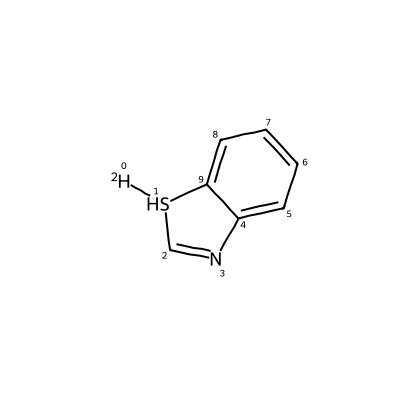 [2H][SH]1C=Nc2ccccc21